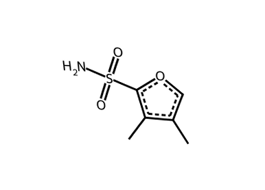 Cc1coc(S(N)(=O)=O)c1C